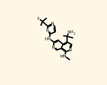 CNc1ncc(C(C)(C)N)c2cc(Nc3ccnc(C(C)(C)F)n3)ncc12